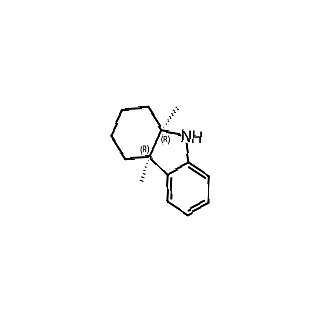 C[C@@]12CCCC[C@]1(C)c1ccccc1N2